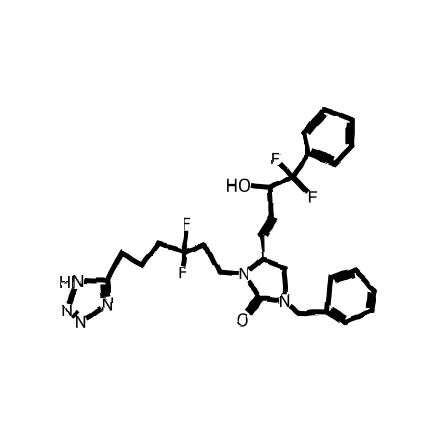 O=C1N(Cc2ccccc2)C[C@H](C=CC(O)C(F)(F)c2ccccc2)N1CCC(F)(F)CCCc1nnn[nH]1